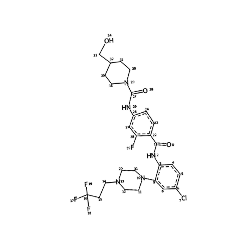 O=C(Nc1ccc(Cl)cc1N1CCN(CCC(F)(F)F)CC1)c1ccc(NC(=O)N2CCC(CO)CC2)cc1F